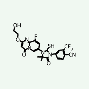 CC1(C)C(=O)N(c2ccc(C#N)c(C(F)(F)F)c2)C(S)N1c1cc(F)c2nc(OCCO)cc(=O)n2c1